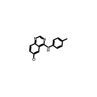 Cc1ccc(Nc2ncnc3ccc(Cl)cc23)cc1